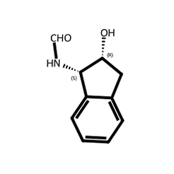 O=CN[C@H]1c2ccccc2C[C@H]1O